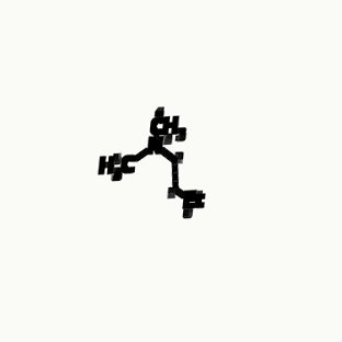 [CH]CCCN(C)C